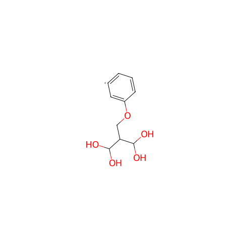 OC(O)C(COc1c[c]ccc1)C(O)O